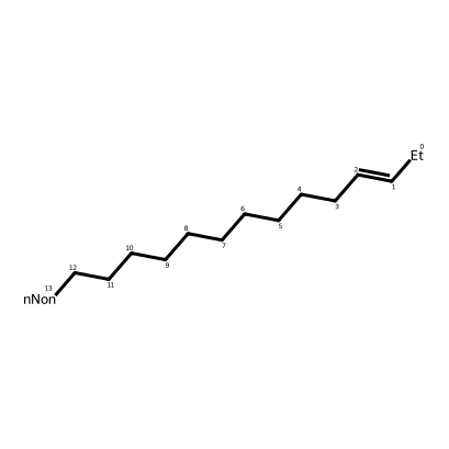 [CH2]C/C=C/CCCCCCCCCCCCCCCCCC[CH2]